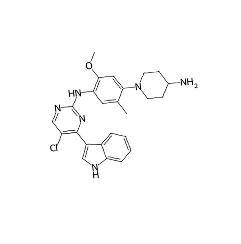 COc1cc(N2CCC(N)CC2)c(C)cc1Nc1ncc(Cl)c(-c2c[nH]c3ccccc23)n1